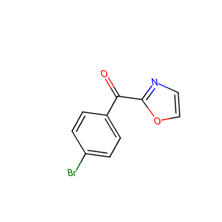 O=C(c1ccc(Br)cc1)c1ncco1